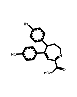 CCCCCCCCC(=O)C1=NCCC(c2ccc(C(C)C)cc2)C(c2ccc(C#N)cc2)=C1